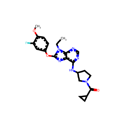 CCn1c(Oc2ccc(OC)c(F)c2)nc2c(NC3CCN(C(=O)C4CC4)C3)ncnc21